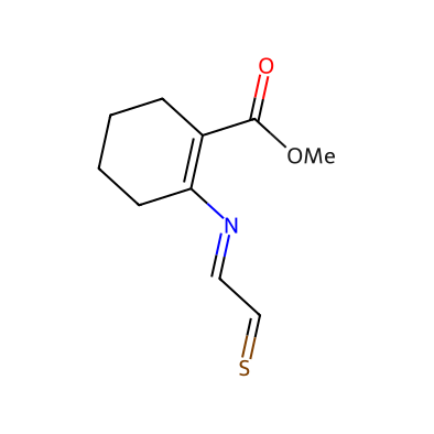 COC(=O)C1=C(N=CC=S)CCCC1